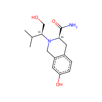 CC(C)[C@@H](CO)N1Cc2cc(O)ccc2C[C@@H]1C(N)=O